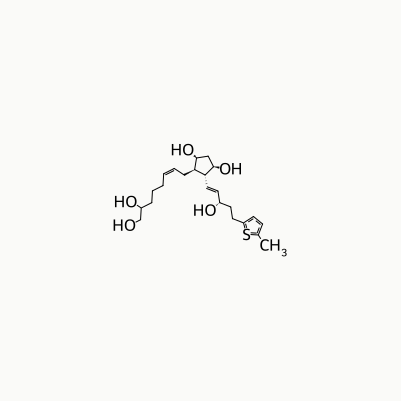 Cc1ccc(CC[C@H](O)/C=C/[C@@H]2[C@@H](C/C=C\CCCC(O)CO)[C@@H](O)C[C@H]2O)s1